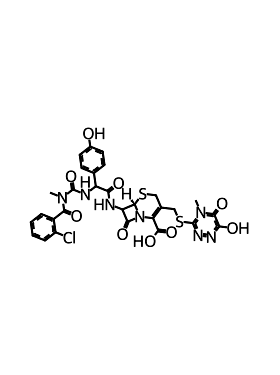 CN(C(=O)NC(C(=O)NC1C(=O)N2C(C(=O)O)=C(CSc3nnc(O)c(=O)n3C)CS[C@@H]12)c1ccc(O)cc1)C(=O)c1ccccc1Cl